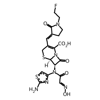 Nc1nc(N(C(=O)C=NO)[C@@H]2C(=O)N3C(C(=O)O)=C(C=C4CCN(CCF)C4=O)CS[C@H]23)cs1